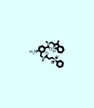 Cc1c(CN(C)C(=O)c2ccc(N)c(CN(C)C(=O)CCS(=O)(=O)c3ccccc3)c2)[nH]c2ccccc12